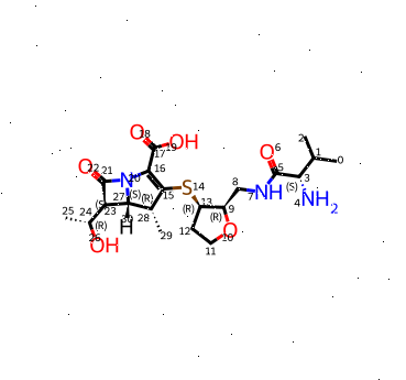 CC(C)[C@H](N)C(=O)NC[C@H]1OCC[C@H]1SC1=C(C(=O)O)N2C(=O)[C@H]([C@@H](C)O)[C@H]2[C@H]1C